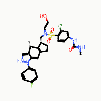 CNC(=O)Nc1ccc(S(=O)(=O)N(CCO)C[C@H]2CCC3=C2[C@@H](C)C2=CNN(c4ccc(F)cc4)C2=C3)c(Cl)c1